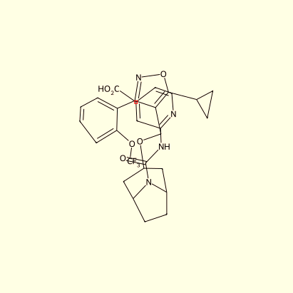 O=C(O)c1ccnc(NC(=O)N2C3CCC2CC(OCc2c(-c4ccccc4OC(F)(F)F)noc2C2CC2)C3)c1